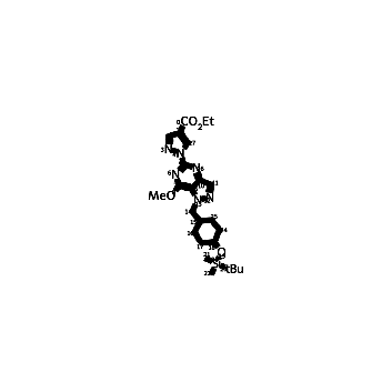 CCOC(=O)c1cnn(-c2nc(OC)c3c(cnn3CC3CCC(O[Si](C)(C)C(C)(C)C)CC3)n2)c1